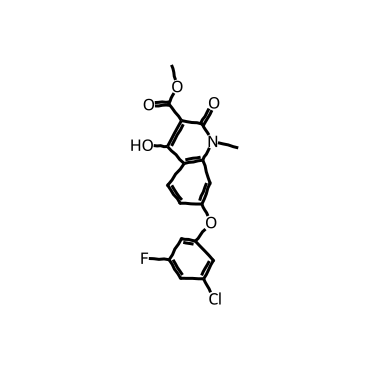 COC(=O)c1c(O)c2ccc(Oc3cc(F)cc(Cl)c3)cc2n(C)c1=O